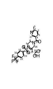 Cc1ccc(C(=O)N2CCN(S(=O)(=O)c3ccc(C(F)(F)F)cc3)[C@H](C)C2)cn1.O=CO